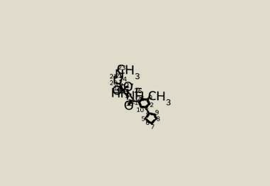 Cc1cc(-c2ccccc2)cc(C(=O)NNS(=O)(=O)C2CCN(C)C2)c1F